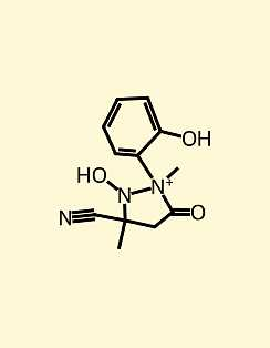 CC1(C#N)CC(=O)[N+](C)(c2ccccc2O)N1O